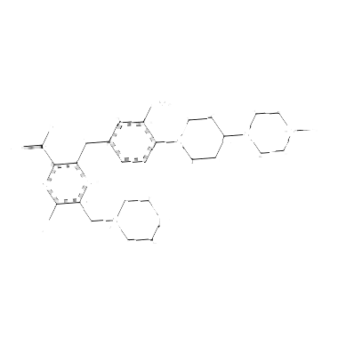 CCc1nc(C(N)=O)c(Cc2ccc(N3CCC(N4CCN(C(C)C)CC4)CC3)c(OC)c2)nc1CN1CCOCC1